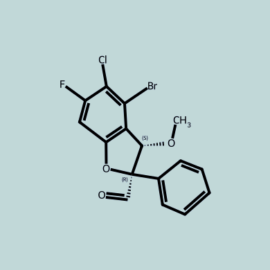 CO[C@H]1c2c(cc(F)c(Cl)c2Br)O[C@]1(C=O)c1ccccc1